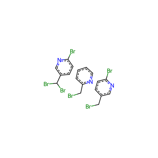 BrCc1ccc(Br)nc1.BrCc1ccccn1.Brc1ccc(C(Br)Br)cn1